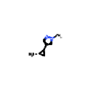 C[C@H]1CC1c1cnn(C)c1